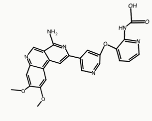 COc1cc2ncc3c(N)nc(-c4cncc(Oc5cccnc5NC(=O)O)c4)cc3c2cc1OC